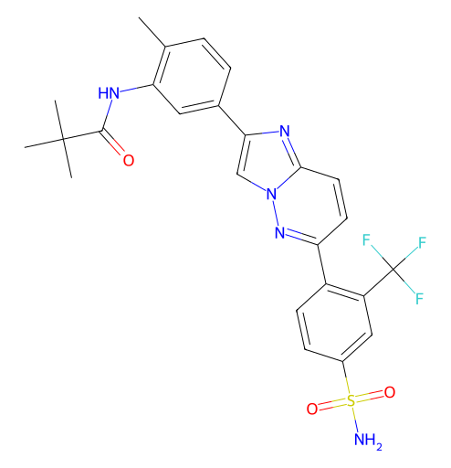 Cc1ccc(-c2cn3nc(-c4ccc(S(N)(=O)=O)cc4C(F)(F)F)ccc3n2)cc1NC(=O)C(C)(C)C